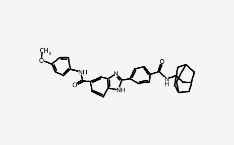 COc1ccc(NC(=O)c2ccc3[nH]c(-c4ccc(C(=O)NC56CC7CC(CC(C7)C5)C6)cc4)nc3c2)cc1